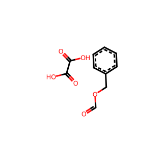 O=C(O)C(=O)O.O=COCc1ccccc1